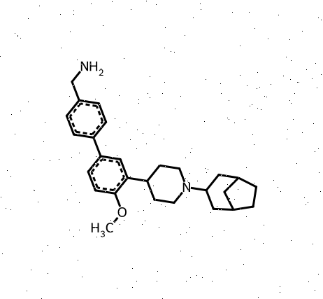 COc1ccc(-c2ccc(CN)cc2)cc1C1CCN(C2CC3CCC(C3)C2)CC1